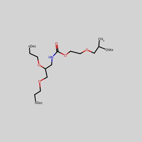 CCCCCCCCCCCCOCC(CNC(=O)OCCOCC(C)OC)OCCCCCCCCCCCC